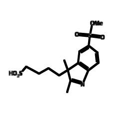 COS(=O)(=O)c1ccc2c(c1)C(C)(CCCCS(=O)(=O)O)C(C)=N2